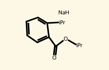 CC(C)OC(=O)c1ccccc1C(C)C.[NaH]